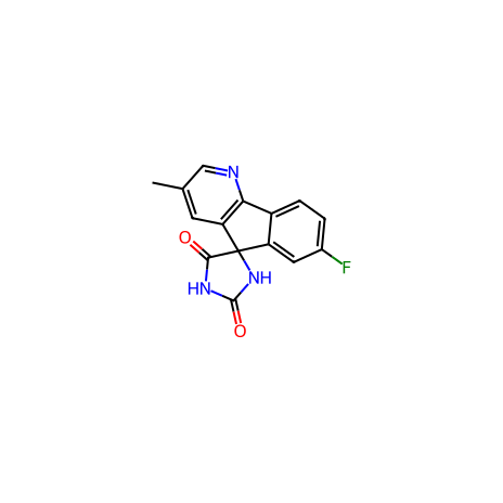 Cc1cnc2c(c1)C1(NC(=O)NC1=O)c1cc(F)ccc1-2